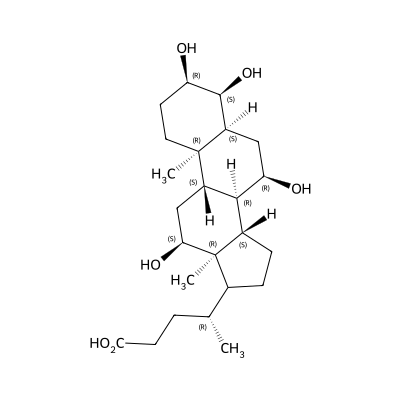 C[C@H](CCC(=O)O)C1CC[C@H]2[C@@H]3[C@H](O)C[C@@H]4[C@H](O)[C@H](O)CC[C@]4(C)[C@H]3C[C@H](O)[C@]12C